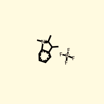 CC1=[N+](C)c2ccccc2C1C.F[B-](F)(F)F